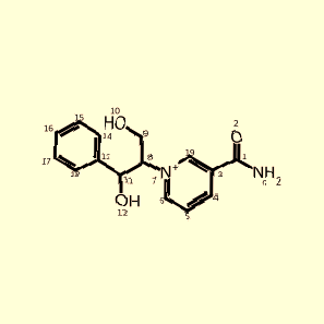 NC(=O)c1ccc[n+](C(CO)C(O)c2ccccc2)c1